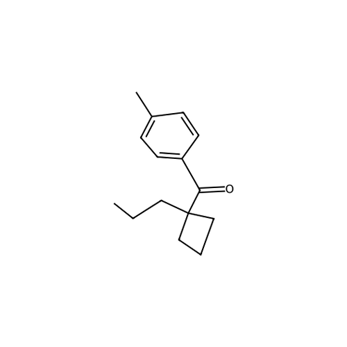 CCCC1(C(=O)c2ccc(C)cc2)CCC1